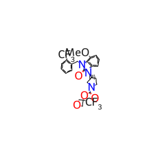 COc1cccc2c1n(Cc1ccccc1C(F)(F)F)c(=O)n2[C@@H]1CCN(C(=O)OC2(C(F)(F)F)COC2)C1